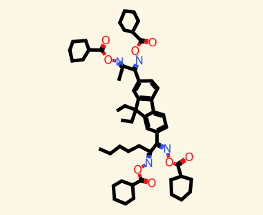 CCCCCC(=N\OC(=O)C1CCCCC1)/C(=N\OC(=O)C1CCCCC1)c1ccc2c(c1)C(CC)(CC)c1cc(C(=N/OC(=O)C3CCCCC3)/C(C)=N/OC(=O)C3CCCCC3)ccc1-2